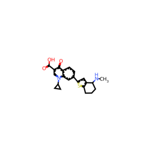 CNC1CCCc2sc(-c3ccc4c(=O)c(C(=O)O)cn(C5CC5)c4c3)cc21